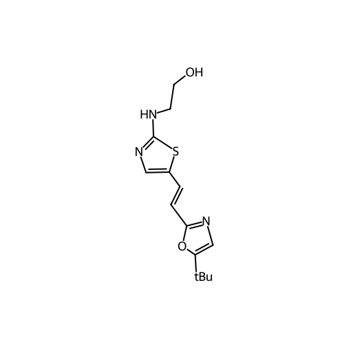 CC(C)(C)c1cnc(C=Cc2cnc(NCCO)s2)o1